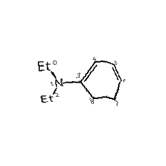 CCN(CC)C1=CC=CC[CH]1